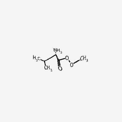 COOC(=O)[C@@H](N)C(C)C